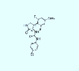 CCc1ccc(NC(=O)N[C@H]2C(=O)NC[C@H]2c2c(F)cc(OC)cc2F)cc1